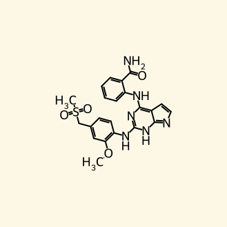 COc1cc(CS(C)(=O)=O)ccc1Nc1nc(Nc2ccccc2C(N)=O)c2ccnc-2[nH]1